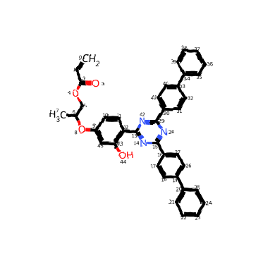 C=CC(=O)OCC(C)Oc1ccc(-c2nc(-c3ccc(-c4ccccc4)cc3)nc(-c3ccc(-c4ccccc4)cc3)n2)c(O)c1